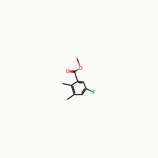 COC(=O)c1cc(F)cc(C)c1C